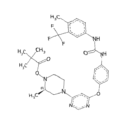 Cc1ccc(NC(=O)Nc2ccc(Oc3cc(N4CCN(OC(=O)C(C)(C)C)[C@H](C)C4)ncn3)cc2)cc1C(F)(F)F